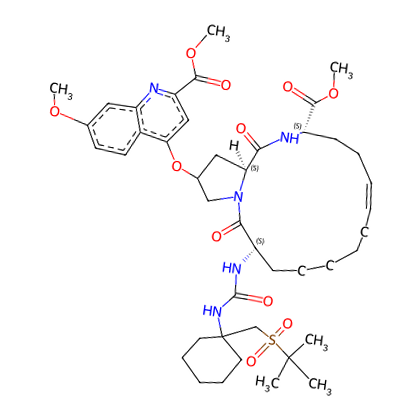 COC(=O)c1cc(OC2C[C@H]3C(=O)N[C@H](C(=O)OC)CCC=CCCCCC[C@H](NC(=O)NC4(CS(=O)(=O)C(C)(C)C)CCCCC4)C(=O)N3C2)c2ccc(OC)cc2n1